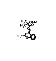 COC(C)(C)C(=O)O/N=C1\CC(C)Sc2ccccc21